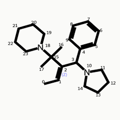 C/C=C(/C(c1ccccc1)N1CCCC1)C(C)(C)N1CCCCC1